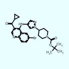 CC(C)(C)OC(=O)N1CCC(n2cc(Nc3c(C(=O)C4CC4)cnc4ccc(Br)cc34)cn2)CC1